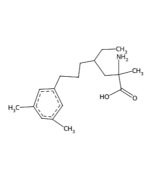 CCC(CCCc1cc(C)cc(C)c1)CC(C)(N)C(=O)O